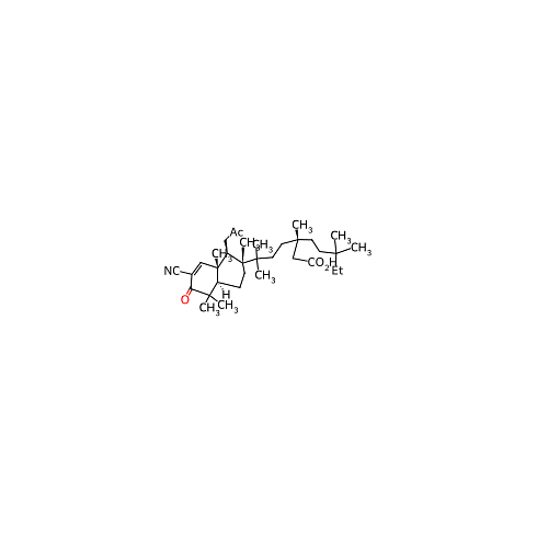 CCC(C)(C)CC[C@@](C)(CCC(C)(C)[C@]1(C)CC[C@H]2C(C)(C)C(=O)C(C#N)=C[C@]2(C)[C@H]1CC(C)=O)CC(=O)O